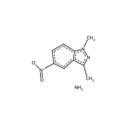 Cc1nn(C)c2ccc([N+](=O)[O-])cc12.N